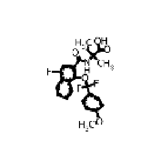 CCC(C)(NC(=O)c1cc(F)c2ccccc2c1OC(F)(F)c1ccc(OC)cc1)C(=O)O